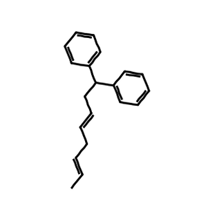 CC=CCC=CCC(c1ccccc1)c1ccccc1